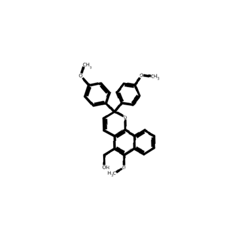 COc1ccc(C2(c3ccc(OC)cc3)C=Cc3c(CO)c(OC)c4ccccc4c3O2)cc1